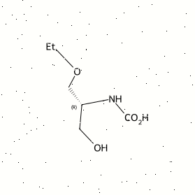 CCOC[C@@H](CO)NC(=O)O